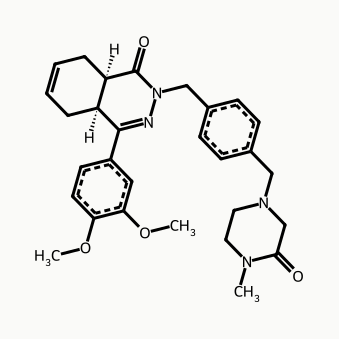 COc1ccc(C2=NN(Cc3ccc(CN4CCN(C)C(=O)C4)cc3)C(=O)[C@@H]3CC=CC[C@H]23)cc1OC